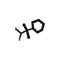 O=S(=O)(c1ccccc1)C(I)I